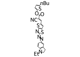 CCCCc1ccc(OC(=O)/C(C#N)=C/c2cc3sc(/N=N/c4ccc5c(c4)CCN5CC)nc3s2)s1